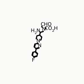 NC(CN(CC=O)C(=O)O)C1CCN(c2ccc(-c3ccc(F)cc3)cn2)CC1